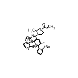 C=CC(=O)N1CCN(c2nc(=O)n(-c3c(C)ccnc3C(C)C)c3nc(-c4ccccc4C(C)(C)C)c(F)cc23)[C@@H](C)C1